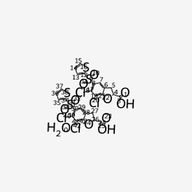 O.O=C(O)C1Cc2cc(S(=O)(=O)c3cccs3)c(Cl)c(Cl)c2O1.O=C(O)C1Cc2cc(S(=O)(=O)c3cccs3)c(Cl)c(Cl)c2O1